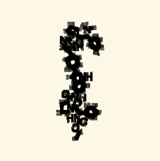 CCOC(=O)N[C@@H](C(=O)N1CCC[C@H]1C(=O)Nc1ccc2[nH]c(-c3ccc(-c4cnc([C@@H]5CCCN5C(=O)[C@@H](c5ccccc5)N(C)C)[nH]4)cc3)cc2c1)c1ccccc1